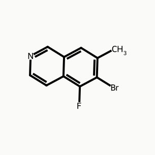 Cc1cc2cnccc2c(F)c1Br